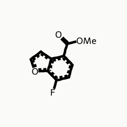 COC(=O)c1ccc(F)c2occc12